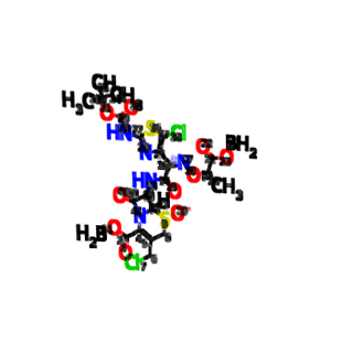 BOC(=O)C1=C(CCl)C[S+]([O-])[C@@H]2[C@H](NC(=O)/C(=N\O[C@@H](C)C(=O)OB)c3nc(NC(=O)OC(C)(C)C)sc3Cl)C(=O)N12